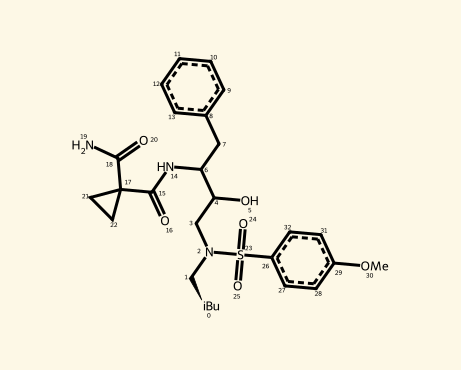 CC[C@H](C)CN(CC(O)C(Cc1ccccc1)NC(=O)C1(C(N)=O)CC1)S(=O)(=O)c1ccc(OC)cc1